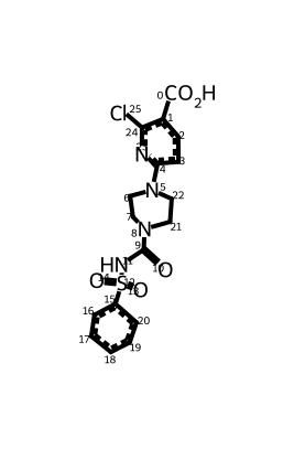 O=C(O)c1ccc(N2CCN(C(=O)NS(=O)(=O)c3ccccc3)CC2)nc1Cl